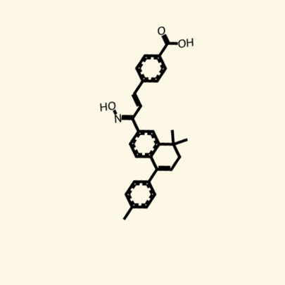 Cc1ccc(C2=CCC(C)(C)c3cc(C(C=Cc4ccc(C(=O)O)cc4)=NO)ccc32)cc1